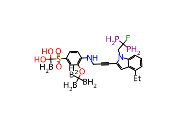 BC(B)(B)Oc1cc(S(=O)(=O)C(B)(O)O)ccc1NCC#Cc1cc2c(CC)cccc2n1CC(F)(P)P